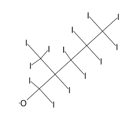 [O]C(I)(I)C(I)(C(I)(I)I)C(I)(I)C(I)(I)C(I)(I)I